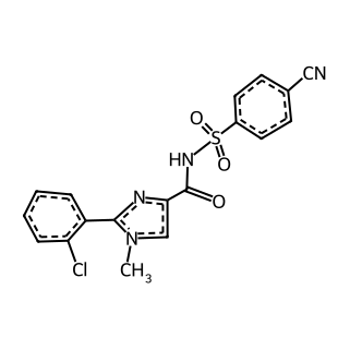 Cn1cc(C(=O)NS(=O)(=O)c2ccc(C#N)cc2)nc1-c1ccccc1Cl